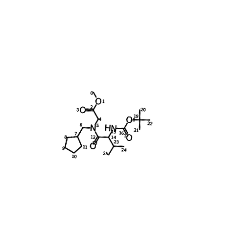 COC(=O)CN(CC1CCCC1)C(=O)C(NC(=O)OC(C)(C)C)C(C)C